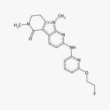 CN1CCc2c(c3ccc(Nc4cccc(OCCF)n4)nc3n2C)C1=O